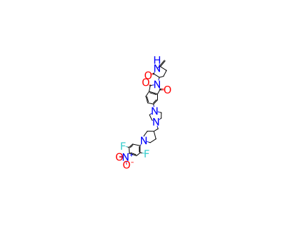 C=C1CCC(N2C(=O)c3ccc(N4CCN(CC5CCN(c6cc(F)c([N+](=O)[O-])cc6F)CC5)CC4)cc3C2=O)C(=O)N1